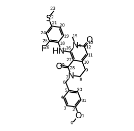 COc1ccc(CN2CCc3cc(=O)n(C)c(Nc4ccc(SC)cc4F)c3C2=O)cc1